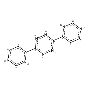 c1cc(-c2nnc(-c3ccncn3)nn2)ncn1